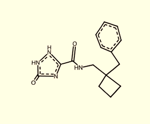 O=C(NCC1(Cc2ccccc2)CCC1)c1nc(=O)[nH][nH]1